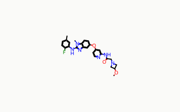 COC1CN(CC(=O)Nc2cc(Oc3ccc4c(c3)nc(Nc3cc(C)ccc3F)n4C)ccn2)C1